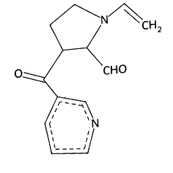 C=CN1CCC(C(=O)c2cccnc2)C1C=O